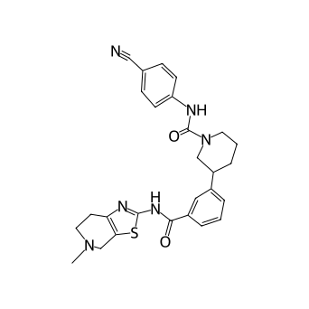 CN1CCc2nc(NC(=O)c3cccc(C4CCCN(C(=O)Nc5ccc(C#N)cc5)C4)c3)sc2C1